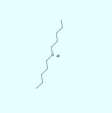 CCCCCOCCCCC.[Al]